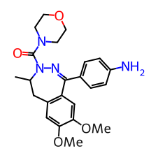 COc1cc2c(cc1OC)C(c1ccc(N)cc1)=NN(C(=O)N1CCOCC1)C(C)C2